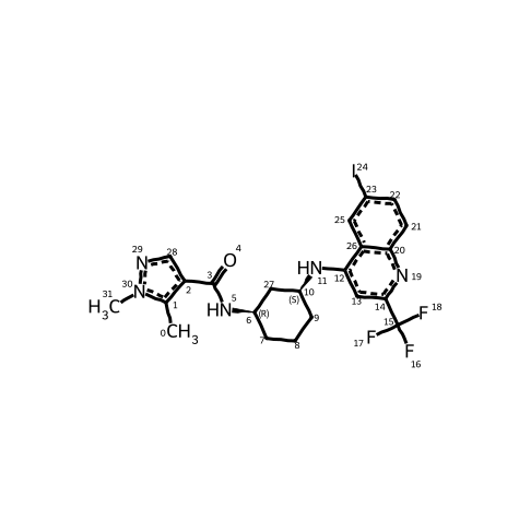 Cc1c(C(=O)N[C@@H]2CCC[C@H](Nc3cc(C(F)(F)F)nc4ccc(I)cc34)C2)cnn1C